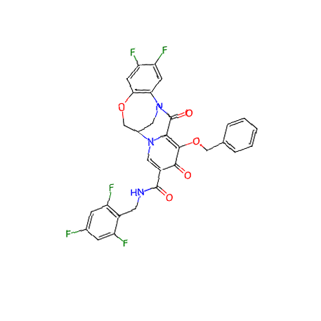 O=C(NCc1c(F)cc(F)cc1F)c1cn2c(c(OCc3ccccc3)c1=O)C(=O)N1CC2COc2cc(F)c(F)cc21